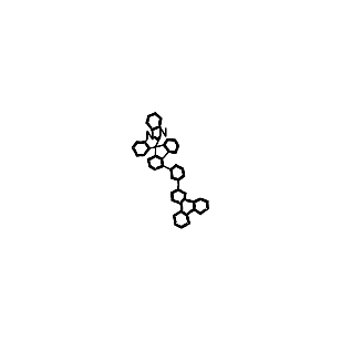 c1cc(-c2ccc3c4ccccc4c4ccccc4c3c2)cc(-c2cccc3c2-c2ccccc2C32c3ccccc3-n3c2nc2ccccc23)c1